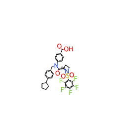 O=C(O)c1ccc(N(Cc2ccc(C3CCCC3)cc2)C(=O)[C@H]2CCN2S(=O)(=O)c2c(F)c(F)c(F)c(F)c2F)cc1